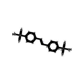 O=S(=O)(O)c1ccc(/C=C/c2ccc(S(=O)(=O)O)cc2)cc1